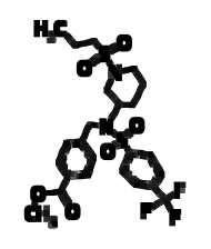 CCCS(=O)(=O)N1CCCC(N(Cc2ccc(C(=O)OC)cc2)S(=O)(=O)c2ccc(C(F)(F)F)cc2)C1